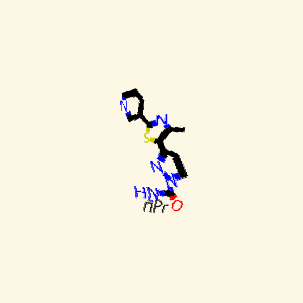 CCCNC(=O)n1ccc(-c2sc(-c3cccnc3)nc2C)n1